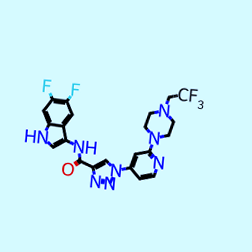 O=C(Nc1c[nH]c2cc(F)c(F)cc12)c1cn(-c2ccnc(N3CCN(CC(F)(F)F)CC3)c2)nn1